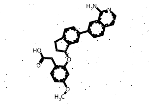 COc1ccc(CC(=O)O)c(OC2CCc3ccc(-c4ccc5ccnc(N)c5c4)cc32)c1